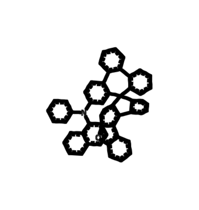 c1ccc(N(c2ccc3c(c2)C2(c4ccccc4-c4ccccc4-3)c3ccccc3-c3c2ccc2oc4ccccc4c32)c2cccc3ccccc23)cc1